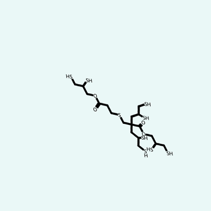 O=C(CCSCC(CC(S)CS)(CC(S)CS)C(=O)OCC(S)CS)OCC(S)CS